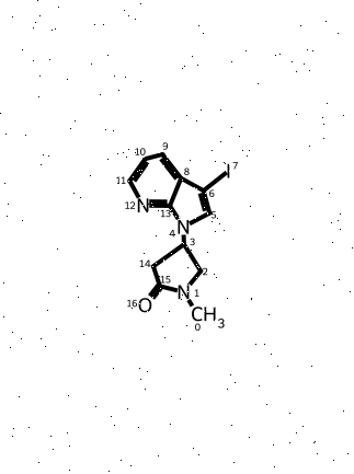 CN1CC(n2cc(I)c3cccnc32)CC1=O